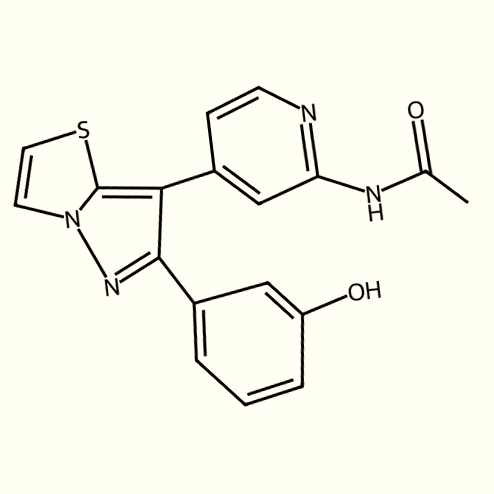 CC(=O)Nc1cc(-c2c(-c3cccc(O)c3)nn3ccsc23)ccn1